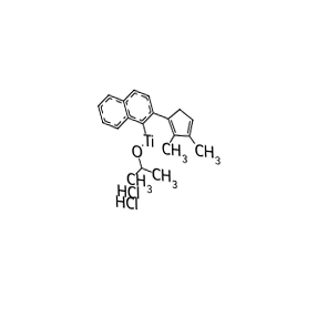 CC1=CCC(c2ccc3ccccc3[c]2[Ti][O]C(C)C)=C1C.Cl.Cl